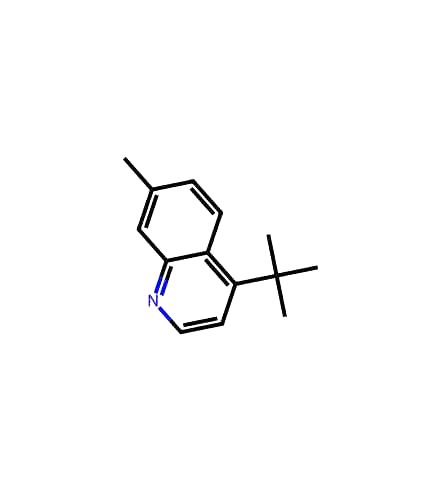 Cc1ccc2c(C(C)(C)C)ccnc2c1